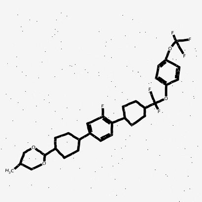 CC1COC(C2CCC(c3ccc(C4CCC(C(F)(F)Oc5ccc(OC(F)(F)F)cc5)CC4)c(F)c3)CC2)OC1